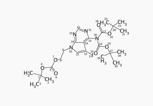 CC(C)(C)OC(=O)OCCn1cc(I)c2c(N(C(=O)OC(C)(C)C)C(=O)OC(C)(C)C)ncnc21